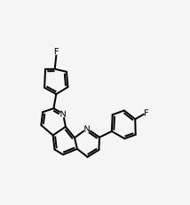 Fc1ccc(-c2ccc3ccc4ccc(-c5ccc(F)cc5)nc4c3n2)cc1